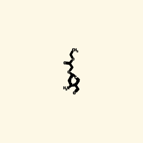 CCOC(=O)COc1ccc(C=O)c(N)c1